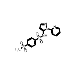 O=S(=O)(Nc1ccnn1-c1ccccn1)c1ccc(S(=O)(=O)C(F)(F)F)cc1